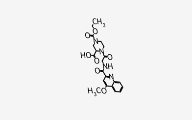 CCOC(=O)N1CCN(C(=O)CNC(=O)c2cc(OC)c3ccccc3n2)C(C(=O)O)C1